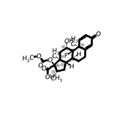 COC(=O)O[C@]1(C(=O)O)[C@@H](C)C[C@H]2[C@@H]3CCC4=CC(=O)C=C[C@]4(C)[C@@]3(F)[C@@H](O)C[C@@]21C